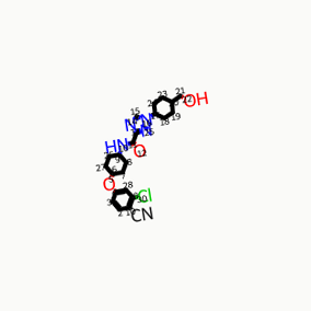 N#Cc1ccc(OC2CCC(NC(=O)c3ncn(C4CCC(CO)CC4)n3)CC2)cc1Cl